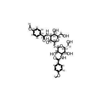 COc1ccc(C(=O)N[C@@H]2[C@@H](O)[C@@H](CO)O[C@@H](S[C@@H]3O[C@H](CO)[C@H](O)[C@@H](NC(=O)c4ccc(OC)cc4)[C@H]3O)[C@@H]2O)cc1